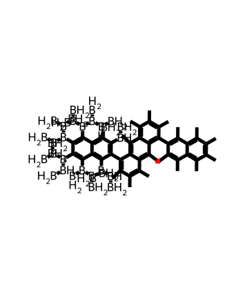 BBB(B)B(B(B)B)c1c(B(B(B)B)B(B)B)c(B(BB)B(B)B)c(B(B)B(B)B)c2c(B(B)BB)c(-c3c(C)c(C)c(C)c4c(C)c5c(-c6c(C)c(C)c7c(C)c(C)c(C)c(C)c7c6C)c(C)c(C)c(C)c5c(C)c34)c(BB)c(B)c12